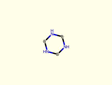 [B]1N[B]N[B]N1